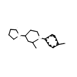 CC1CC(N2CCCC2)CCN1c1ccc(F)cc1